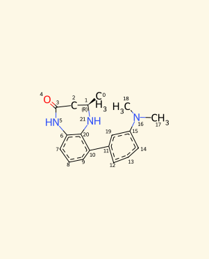 C[C@@H]1CC(=O)Nc2cccc(-c3cccc(N(C)C)c3)c2N1